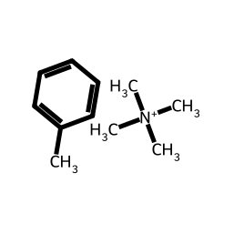 C[N+](C)(C)C.Cc1ccccc1